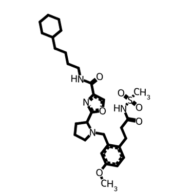 COc1ccc(CCC(=O)NS(C)(=O)=O)c(CN2CCCC2c2nc(C(=O)NCCCCC3CCCCC3)co2)c1